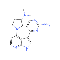 CN(C)C1CCN(c2ccnc3[nH]cc(-c4ccnc(N)n4)c23)C1